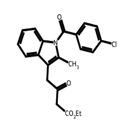 CCOC(=O)CC(=O)Cc1c(C)n(C(=O)c2ccc(Cl)cc2)c2ccccc12